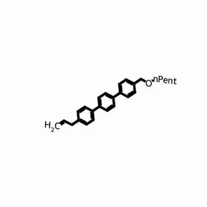 C=CCc1ccc(-c2ccc(-c3ccc(COCCCCC)cc3)cc2)cc1